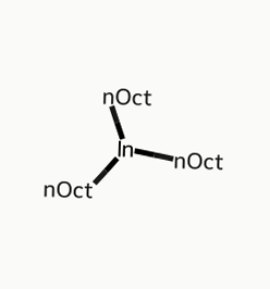 CCCCCCC[CH2][In]([CH2]CCCCCCC)[CH2]CCCCCCC